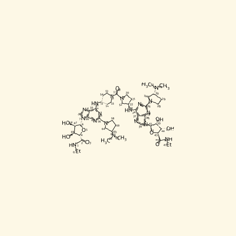 CCNC(=O)[C@H]1O[C@@H](n2cnc3c(NC4CCN(C(=O)N5CC[C@@H](Nc6nc(N7CC[C@@H](N(C)C)C7)nc7c6ncn7[C@@H]6O[C@H](C(=O)NCC)[C@@H](O)[C@H]6O)C5)CC4)nc(N4CC[C@@H](N(C)C)C4)nc32)[C@H](O)[C@@H]1O